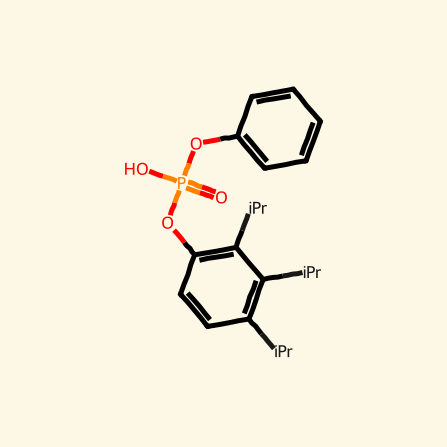 CC(C)c1ccc(OP(=O)(O)Oc2ccccc2)c(C(C)C)c1C(C)C